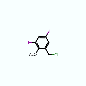 CC(=O)Oc1c(I)cc(I)cc1CCl